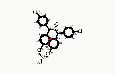 C[S+](C)[O-].[O-][S+](C(c1ccc(Cl)cc1)c1ccc(Cl)cc1)C(c1ccc(Cl)cc1)c1ccc(Cl)cc1